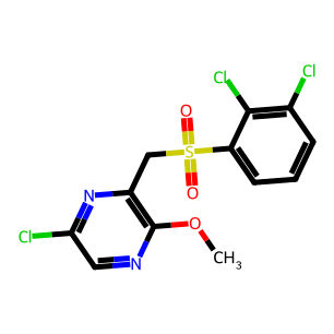 COc1ncc(Cl)nc1CS(=O)(=O)c1cccc(Cl)c1Cl